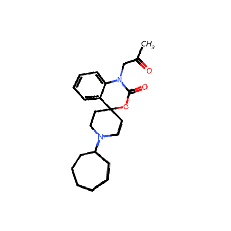 CC(=O)CN1C(=O)OC2(CCN(C3CCCCCC3)CC2)c2ccccc21